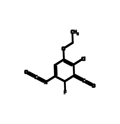 CCOC1=C(Cl)C(=C=O)C(F)C(N=C=O)=C1